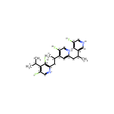 CC(C)c1c(F)cnc(CC(C)c2cc(CC(C)c3cncc(F)c3)ncc2F)c1F